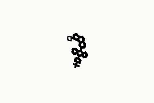 CC(C)(C)c1ccc(-c2c3ccccc3c(-c3ccc4ccc5ccc(Cl)cc5c4c3)c3ccccc23)cc1